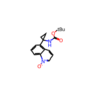 CC(C)(C)OC(=O)NC1(c2cccc3c2ccc[n+]3[O-])CC1